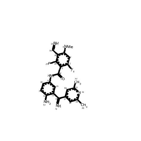 CNc1cc(F)c(C(=O)Nc2ccc(N)c(C(=N)c3cc(C)nc(C)c3)c2)c(F)c1C=N